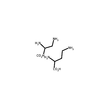 NCC(N)C(=O)O.NCCC(N)C(=O)O